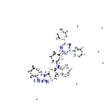 c1ccc(-c2nc(-c3ccccc3)nc(-c3cccc(-n4c5ccccc5c5cc6nc7[nH]c8ccccc8n7c6cc54)c3)n2)cc1